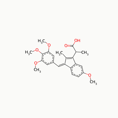 COc1ccc2c(c1)C(C(C)C(=O)O)=C(C)/C2=C\c1cc(OC)c(OC)c(OC)c1